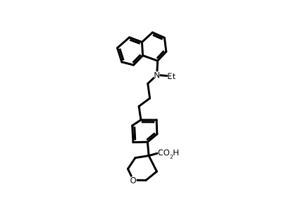 CCN(CCCc1ccc(C2(C(=O)O)CCOCC2)cc1)c1cccc2ccccc12